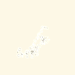 COCCOCCOCCOCCOCCOCCOCCNC(=O)[C@H](CC(=O)N[C@H](C(=O)N[C@@H](C)C(=O)Nc1ccc(COC(=O)N(C)Cc2ccccc2C(N)=O)cc1)C(C)C)NC(=O)CCC(=O)N1Cc2ccccc2C#Cc2ccccc21